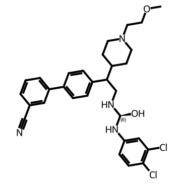 COCCN1CCC(C(CN[C@@H](O)Nc2ccc(Cl)c(Cl)c2)c2ccc(-c3cccc(C#N)c3)cc2)CC1